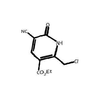 CCOC(=O)c1cc(C#N)c(=O)[nH]c1CCl